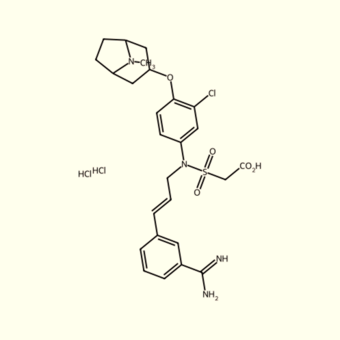 CN1C2CCC1CC(Oc1ccc(N(C/C=C/c3cccc(C(=N)N)c3)S(=O)(=O)CC(=O)O)cc1Cl)C2.Cl.Cl